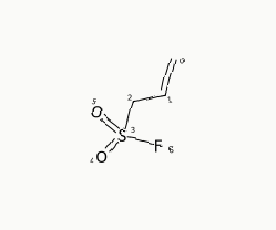 C=CCS(=O)(=O)F